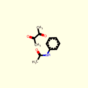 CC(=O)C(C)=O.CC(=O)Nc1ccccc1